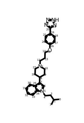 CC(C)CCn1cc(C2CCN(CCCOc3ccc(-c4nn[nH]n4)cc3)CC2)c2ccccc21